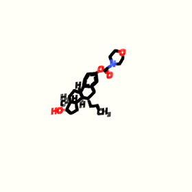 CCC[C@@H]1Cc2cc(OC(=O)N3CCOCC3)ccc2[C@H]2CC[C@]3(C)[C@@H](O)CC[C@H]3[C@H]12